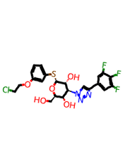 OC[C@H]1O[C@H](Sc2cccc(OCCCl)c2)[C@H](O)[C@@H](n2cc(-c3cc(F)c(F)c(F)c3)nn2)[C@H]1O